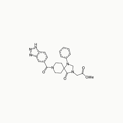 COC(=O)CN1CN(c2ccccc2)C2(CCN(C(=O)c3ccc4[nH]nnc4c3)CC2)C1=O